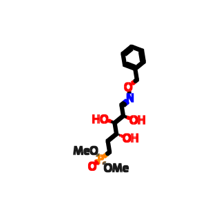 COP(=O)(CC[C@@H](O)[C@@H](O)[C@H](O)C=NOCc1ccccc1)OC